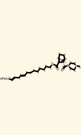 CCCCC/C=C/C/C=C/CCCCCCCCOC(=O)C1C2CCC(O2)[C@@H]1C(=O)N1CCN(C)CC1